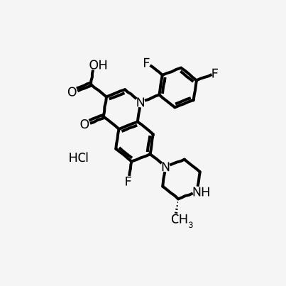 C[C@@H]1CN(c2cc3c(cc2F)c(=O)c(C(=O)O)cn3-c2ccc(F)cc2F)CCN1.Cl